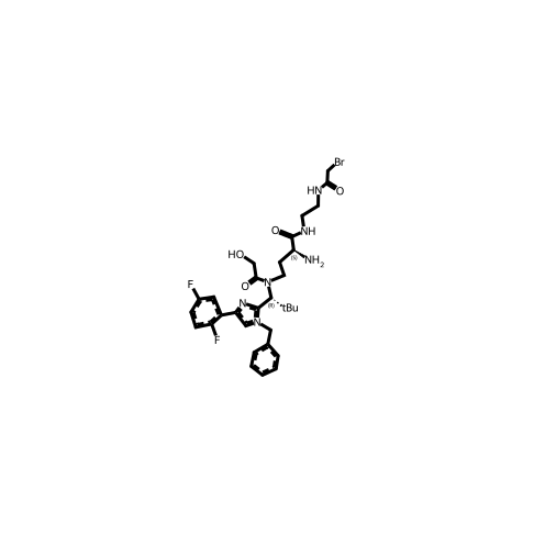 CC(C)(C)[C@H](c1nc(-c2cc(F)ccc2F)cn1Cc1ccccc1)N(CC[C@H](N)C(=O)NCCNC(=O)CBr)C(=O)CO